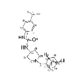 CC(C)c1ccc(NC(=O)NC2CCN(CC3=CC[C@H]4C[C@@H]3C4(C)C)CC2)cc1